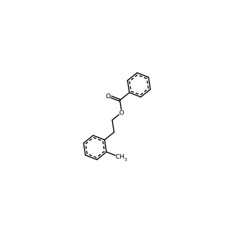 Cc1ccccc1CCOC(=O)c1ccccc1